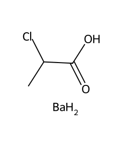 CC(Cl)C(=O)O.[BaH2]